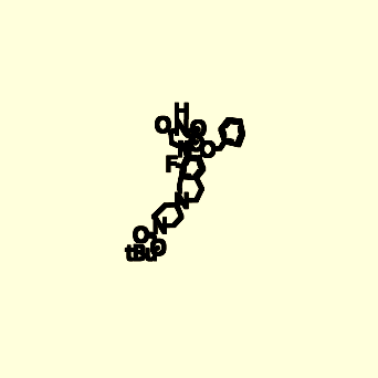 CC(C)(C)OC(=O)N1CCC(N2CCc3cc(OCc4ccccc4)c(N4CC(=O)NS4(=O)=O)c(F)c3C2)CC1